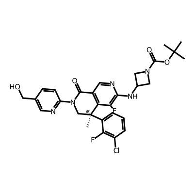 CC(C)(C)OC(=O)N1CC(Nc2ncc3c(c2F)[C@@](C)(c2cccc(Cl)c2F)CN(c2ccc(CO)cn2)C3=O)C1